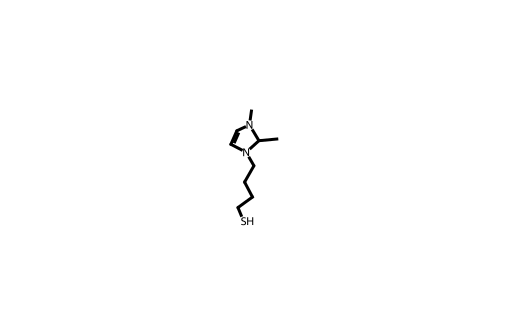 CC1N(C)C=CN1CCCCS